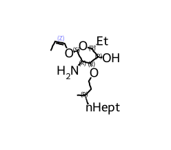 C/C=C\O[C@H]1O[C@H](CC)[C@@H](O)[C@H](OCC[C@H](C)CCCCCCC)[C@H]1N